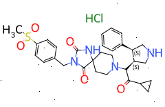 CS(=O)(=O)c1ccc(CN2C(=O)NC3(CCN(C(C(=O)C4CC4)[C@@H]4CNC[C@@H]4c4ccccc4)CC3)C2=O)cc1.Cl